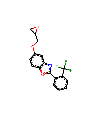 FC(F)(F)c1ccccc1-c1nc2cc(OCC3CO3)ccc2o1